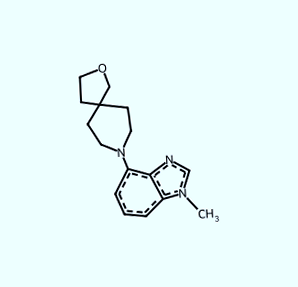 Cn1cnc2c(N3CCC4(CCOC4)CC3)cccc21